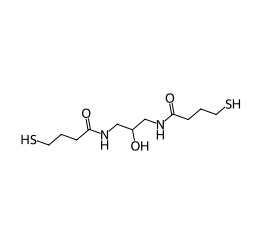 O=C(CCCS)NCC(O)CNC(=O)CCCS